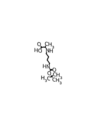 CC(NCCCCNC(=O)OC(C)(C)C)C(=O)O